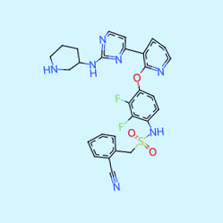 N#Cc1ccccc1CS(=O)(=O)Nc1ccc(Oc2ncccc2-c2ccnc(NC3CCCNC3)n2)c(F)c1F